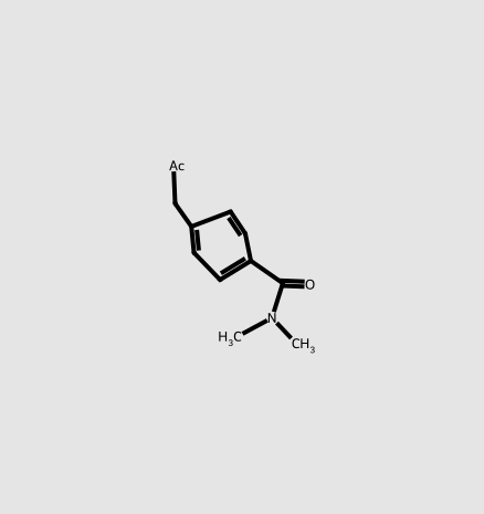 CC(=O)Cc1ccc(C(=O)N(C)C)cc1